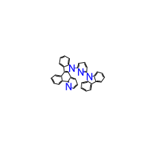 c1cc(-n2c3ccccc3c3ccccc32)nc(-n2c3ccccc3c3c4ccccc4c4ncccc4c32)c1